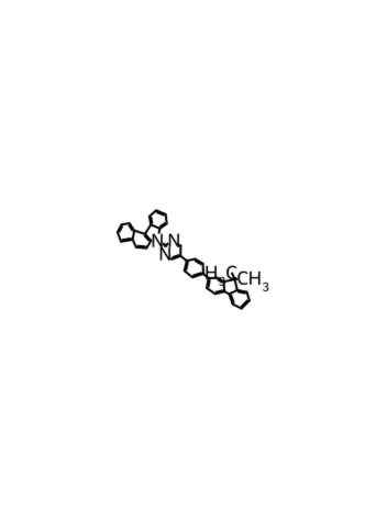 CC1(C)c2ccccc2-c2ccc(-c3ccc(-c4cnc(-n5c6ccccc6c6c7ccccc7ccc65)nc4)cc3)cc21